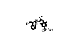 CNC(=O)c1cc(C)c(C[C@@H](CNC(=O)C[C@@H](CC(C)C)c2ccccn2)N(C)C)c(C)c1